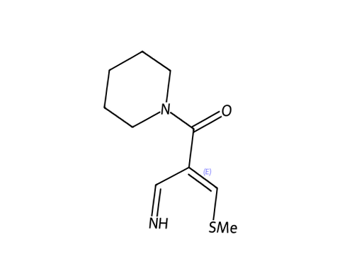 CS/C=C(\C=N)C(=O)N1CCCCC1